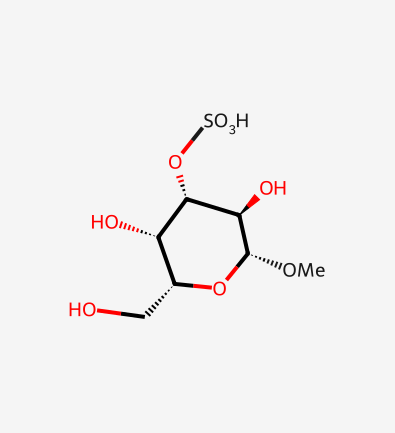 CO[C@@H]1O[C@H](CO)[C@H](O)[C@H](OS(=O)(=O)O)[C@H]1O